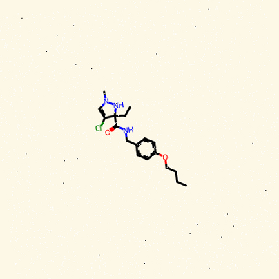 CCCCOc1ccc(CNC(=O)C2(CC)NN(C)C=C2Cl)cc1